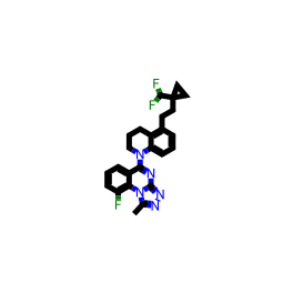 Cc1nnc2nc(N3CCCc4c(CCC5(C(F)F)CC5)cccc43)c3cccc(F)c3n12